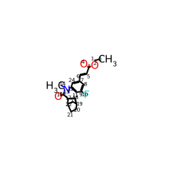 CCOC(=O)/C=C/c1cc(F)cc(N(C)C(=O)C2CC3CCC2C3)c1